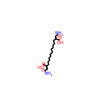 NC(=O)C=C(CCCCCCCCCCCCC(=CC(N)=O)C(=O)O)C(=O)O